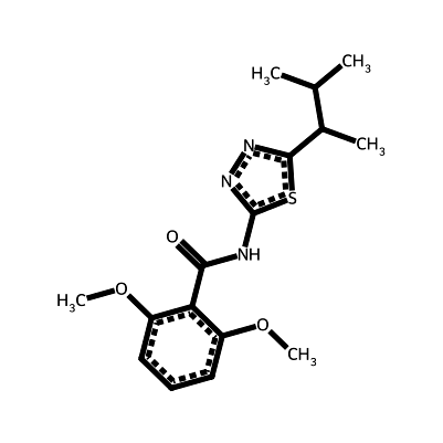 COc1cccc(OC)c1C(=O)Nc1nnc(C(C)C(C)C)s1